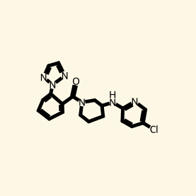 O=C(c1ccccc1-n1nccn1)N1CCCC(Nc2ccc(Cl)cn2)C1